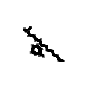 CCCCCCCCCCCCN(C)C.Cc1ccccc1